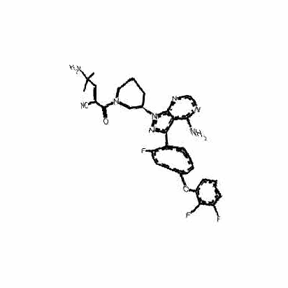 CC(C)(N)C=C(C#N)C(=O)N1CCC[C@@H](n2nc(-c3ccc(Oc4cccc(F)c4F)cc3F)c3c(N)ncnc32)C1